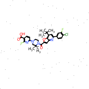 CC(C)(C)c1cc(-c2ccc(Cl)c(F)c2)nc2cc(C(=O)N3CCN(c4ccc(C(=O)O)c(F)n4)CC3(C)C)oc12